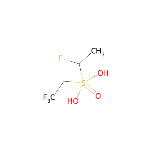 CC(F)S(=O)(O)(O)CC(F)(F)F